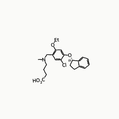 CCOc1cc(O[C@H]2CCc3ccccc32)c(Cl)cc1CN(C)CCCC(=O)O